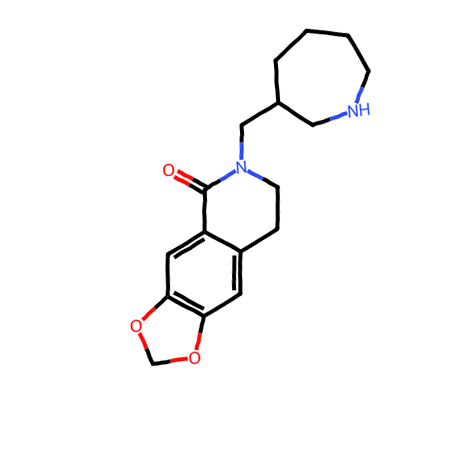 O=C1c2cc3c(cc2CCN1CC1CCCCNC1)OCO3